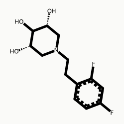 OC1[C@H](O)CN(CCc2ccc(F)cc2F)C[C@@H]1O